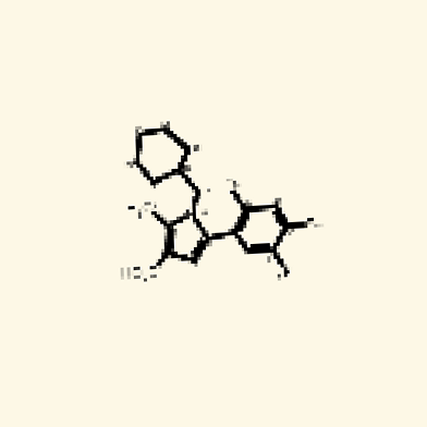 Cc1c(C(=O)O)cc(-c2cc(F)c(F)cc2F)n1CC1CCCCC1